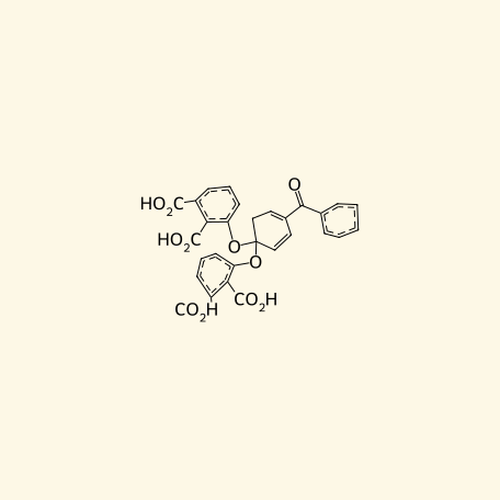 O=C(C1=CCC(Oc2cccc(C(=O)O)c2C(=O)O)(Oc2cccc(C(=O)O)c2C(=O)O)C=C1)c1ccccc1